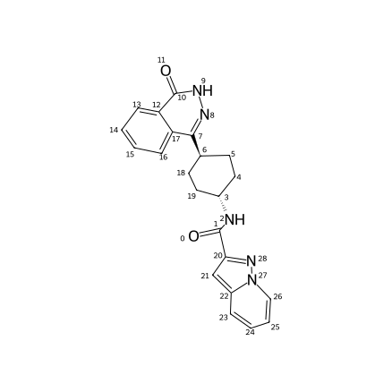 O=C(N[C@H]1CC[C@H](c2n[nH]c(=O)c3ccccc32)CC1)c1cc2ccccn2n1